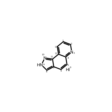 I.c1cnc2ccc3c[nH]nc3c2c1